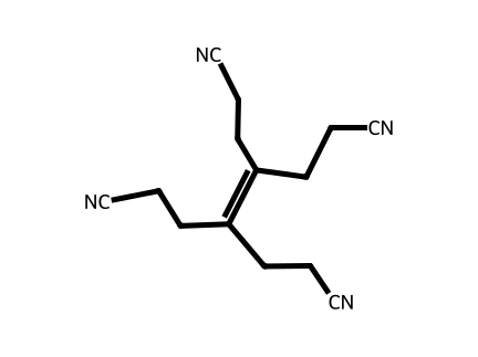 N#CCCC(CCC#N)=C(CCC#N)CCC#N